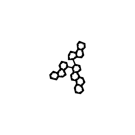 c1ccc2c(c1)ccc1c(-c3ccc4c(ccc5c6ccccc6ccc45)c3-c3cccc4c3ccc3ccccc34)cccc12